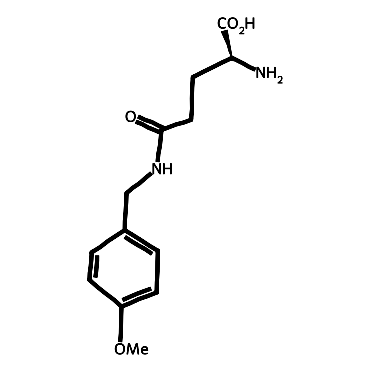 COc1ccc(CNC(=O)CC[C@H](N)C(=O)O)cc1